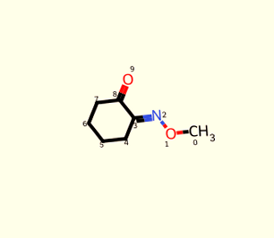 CON=C1CCCCC1=O